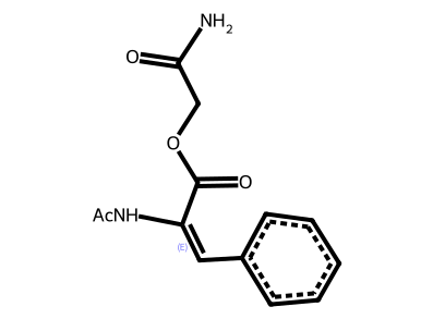 CC(=O)N/C(=C/c1ccccc1)C(=O)OCC(N)=O